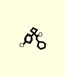 O=C(CC1CCCCC1)C1(c2ccc(Cl)cc2)CCC1